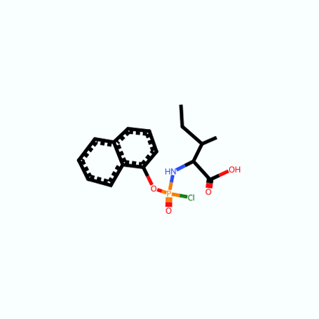 CCC(C)C(NP(=O)(Cl)Oc1cccc2ccccc12)C(=O)O